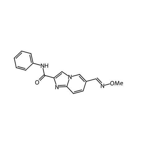 CO/N=C/c1ccc2nc(C(=O)Nc3ccccc3)cn2c1